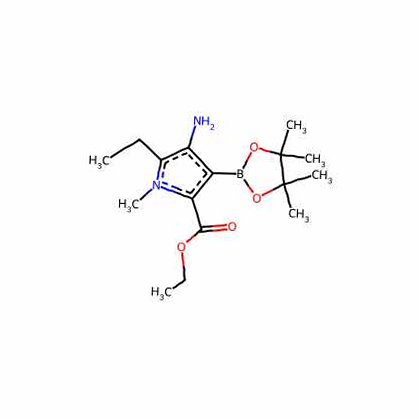 CCOC(=O)c1c(B2OC(C)(C)C(C)(C)O2)c(N)c(CC)n1C